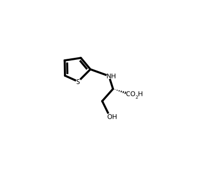 O=C(O)[C@H](CO)Nc1cccs1